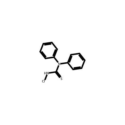 S=C(NCl)N(c1[c]cccc1)c1ccccc1